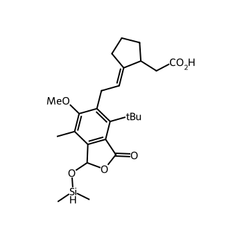 COc1c(C)c2c(c(C(C)(C)C)c1CC=C1CCCC1CC(=O)O)C(=O)OC2O[SiH](C)C